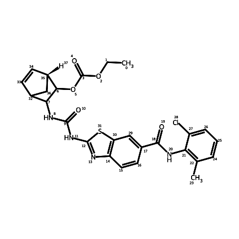 CCOC(=O)OC1C(NC(=O)Nc2nc3ccc(C(=O)Nc4c(C)cccc4Cl)cc3s2)C2C=C[C@H]1C2